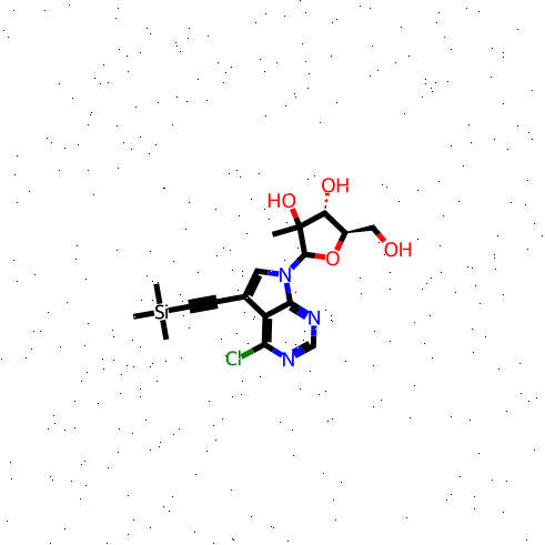 CC1(O)C(n2cc(C#C[Si](C)(C)C)c3c(Cl)ncnc32)O[C@H](CO)[C@H]1O